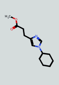 COC(=O)CCc1cn(C2CCCCC2)cn1